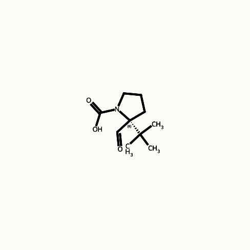 CC(C)(C)[C@@]1(C=O)CCCN1C(=O)O